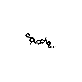 CC(=O)Nc1ccn(C(=O)N2CC3CN(Cc4ccc(N5CCCC5)cc4Cl)CC3C2)n1